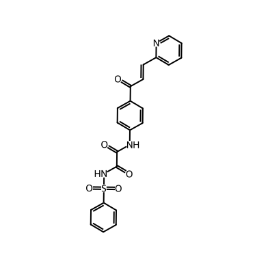 O=C(Nc1ccc(C(=O)C=Cc2ccccn2)cc1)C(=O)NS(=O)(=O)c1ccccc1